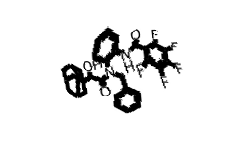 O=C(Nc1ccccc1N(Cc1ccccc1)C(=O)C(O)C12CC3CC(CC(C3)C1)C2)c1c(F)c(F)c(F)c(F)c1F